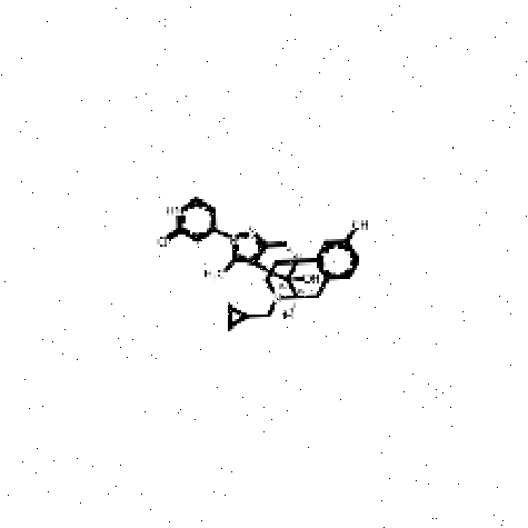 Cc1c2c(nn1-c1cc[nH]c(=O)c1)C[C@]13CCN(CC4CC4)[C@H](Cc4ccc(O)cc41)[C@]3(O)C2